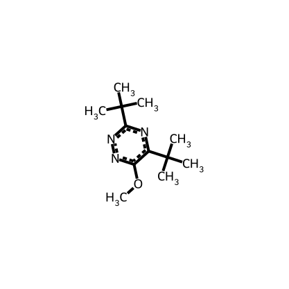 COc1nnc(C(C)(C)C)nc1C(C)(C)C